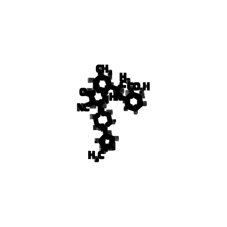 Cc1cc([C@@H](C)Nc2ccccc2C(=O)O)c2nc(N3CCN(c4cnn(C)c4)CC3)c(C#N)c(=O)n2c1